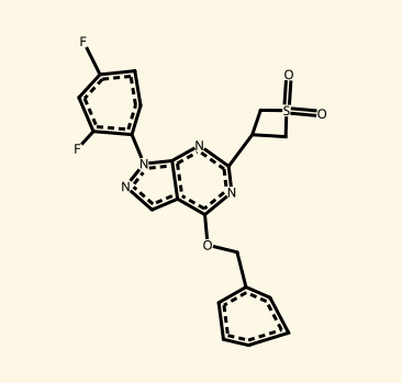 O=S1(=O)CC(c2nc(OCc3ccccc3)c3cnn(-c4ccc(F)cc4F)c3n2)C1